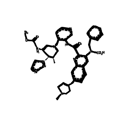 C[C@H]1CN(c2ccncc2NC(=O)c2nc3cc(C4=CCN(C)CC4)ccc3cc2N(Cc2ccccc2)C(=O)O)C[C@@H](NC(=O)OC(C)(C)C)[C@H]1n1ccnn1